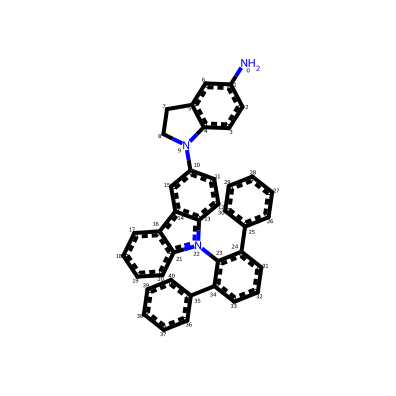 Nc1ccc2c(c1)CCN2c1ccc2c(c1)c1ccccc1n2-c1c(-c2ccccc2)cccc1-c1ccccc1